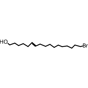 OCCCCCC=CCCCCCCCCCCBr